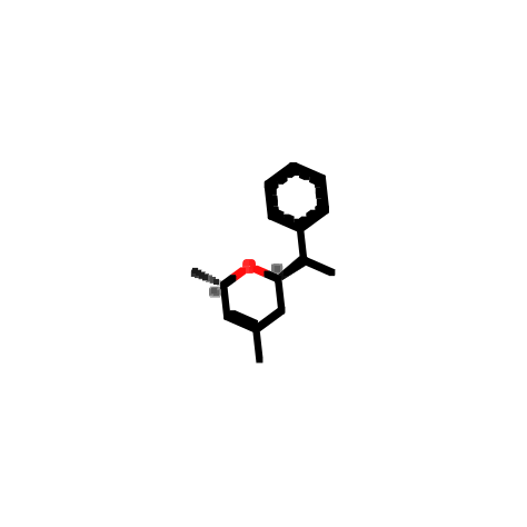 CC1=C[C@H](C)O[C@@H](C(C)c2ccccc2)C1